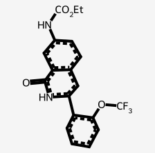 CCOC(=O)Nc1ccc2cc(-c3ccccc3OC(F)(F)F)[nH]c(=O)c2c1